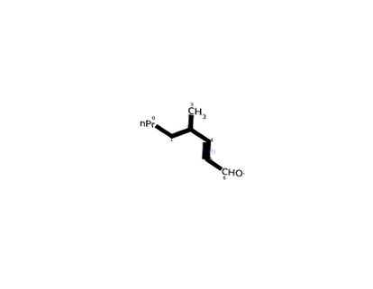 CCCCC(C)/C=C/[C]=O